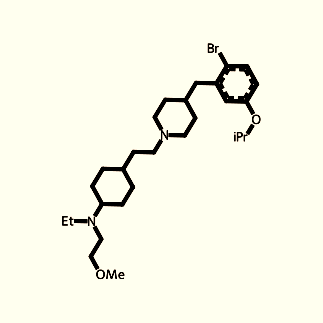 CCN(CCOC)C1CCC(CCN2CCC(Cc3cc(OC(C)C)ccc3Br)CC2)CC1